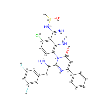 CNc1c(-n2c(C(N)Cc3cc(F)cc(F)c3)nc(-c3ccccc3)cc2=O)ccc(Cl)c1C(=N)N[S+](C)[O-]